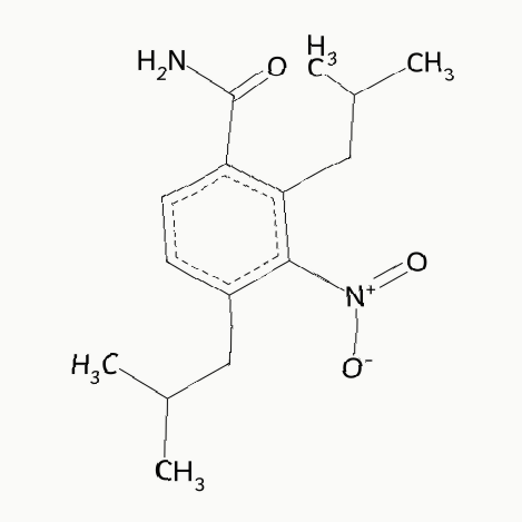 CC(C)Cc1ccc(C(N)=O)c(CC(C)C)c1[N+](=O)[O-]